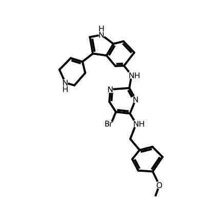 COc1ccc(CNc2nc(Nc3ccc4[nH]cc(C5=CCNCC5)c4c3)ncc2Br)cc1